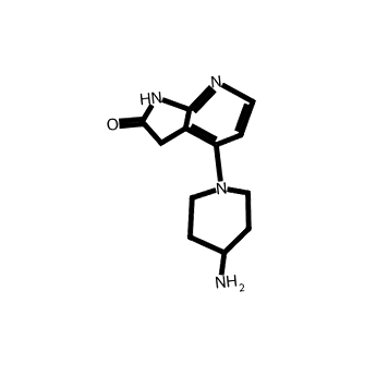 NC1CCN(c2ccnc3c2CC(=O)N3)CC1